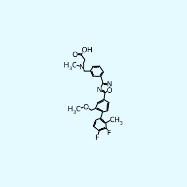 COCc1cc(-c2nc(-c3cccc(CN(C)CC(=O)O)c3)no2)ccc1-c1ccc(F)c(F)c1C